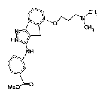 COC(=O)c1cccc(Nc2[nH]nc3c2Cc2c(OCCCN(C)C)cccc2-3)c1